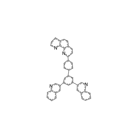 c1ccc2ncc(-c3cc(-c4ccc(-c5ccc6ccc7cccnc7c6n5)cc4)cc(-c4cnc5ccccc5c4)c3)cc2c1